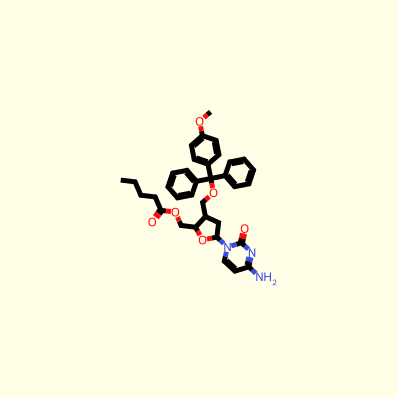 CCCCC(=O)OCC1OC(n2ccc(N)nc2=O)CC1COC(c1ccccc1)(c1ccccc1)c1ccc(OC)cc1